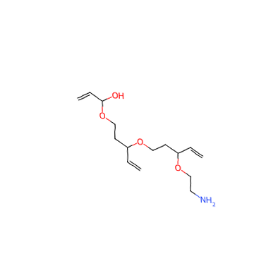 C=CC(O)OCCC(C=C)OCCC(C=C)OCCN